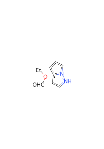 CCOC=O.c1cc2cc[nH]n2c1